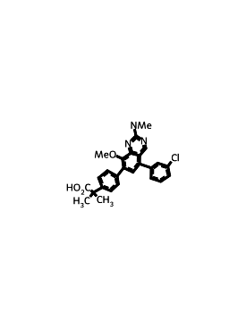 CNc1ncc2c(-c3cccc(Cl)c3)cc(-c3ccc(C(C)(C)C(=O)O)cc3)c(OC)c2n1